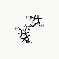 B[C@]1(C)O[C@](C)(COP(C)(=O)O[C@]2(C)C(C)(C)[C@@](B)(C)O[C@]2(C)CO)[C@](C)(O)C1(C)C